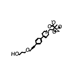 COC(=O)C(C)(CCN1CC=C(c2ccc(C#CCOCCCO)cc2)CC1)S(C)(=O)=O